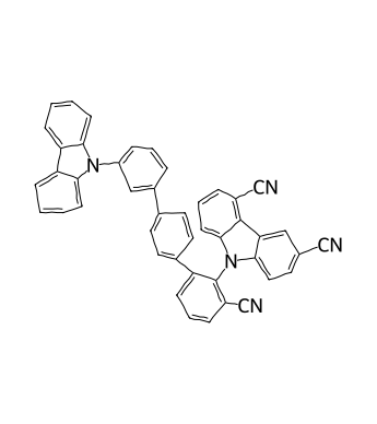 N#Cc1ccc2c(c1)c1c(C#N)cccc1n2-c1c(C#N)cccc1-c1ccc(-c2cccc(-n3c4ccccc4c4ccccc43)c2)cc1